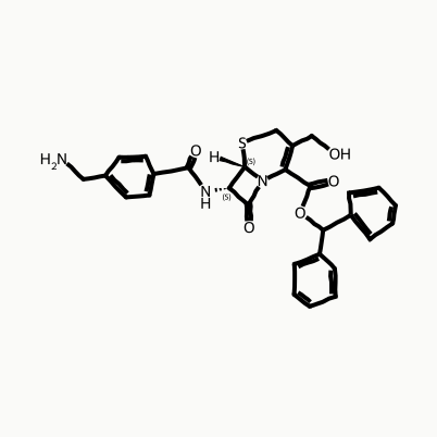 NCc1ccc(C(=O)N[C@H]2C(=O)N3C(C(=O)OC(c4ccccc4)c4ccccc4)=C(CO)CS[C@@H]23)cc1